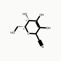 N#CC1O[C@H](CO)[C@H](O)C(O)=C1O